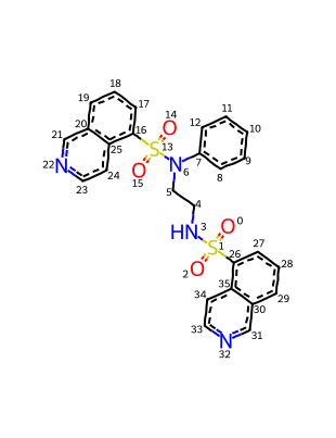 O=S(=O)(NCCN(c1ccccc1)S(=O)(=O)c1cccc2cnccc12)c1cccc2cnccc12